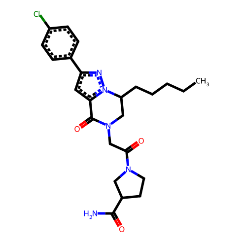 CCCCCC1CN(CC(=O)N2CCC(C(N)=O)C2)C(=O)c2cc(-c3ccc(Cl)cc3)nn21